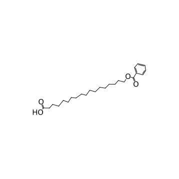 O=C(O)CCCCCCCCCCCCCCCCCOC(=O)c1ccccc1